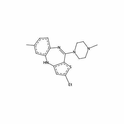 CCc1cc2c(s1)C(N1CCN(C)CC1)=Nc1ccc(C)cc1N2